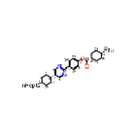 CCCCCCC[C@H]1CC[C@H](c2cnc(-c3ccc(OC(=O)[C@H]4CC[C@H](CCCC)CC4)cc3)nc2)CC1